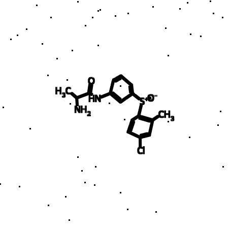 Cc1cc(Cl)ccc1[S+]([O-])c1cccc(NC(=O)C(C)N)c1